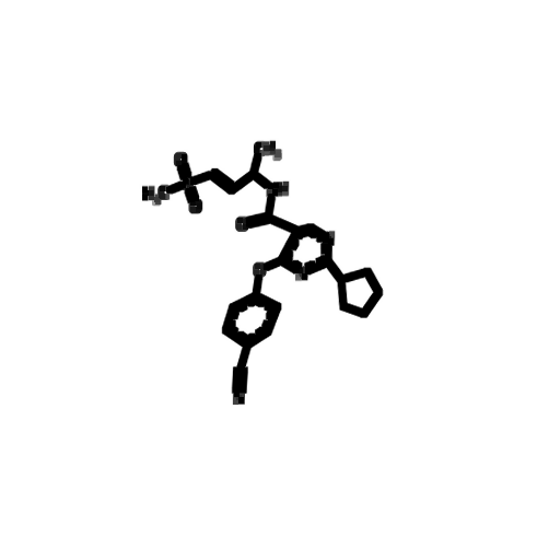 CC(C=CS(C)(=O)=O)NC(=O)c1cnc(C2CCCC2)nc1Oc1ccc(C#N)cc1